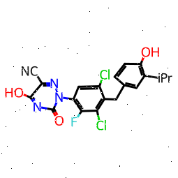 CC(C)c1cc(Cc2c(Cl)cc(-n3nc(C#N)c(O)nc3=O)c(F)c2Cl)ccc1O